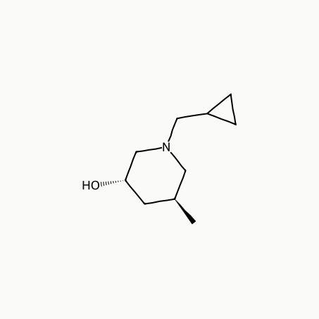 C[C@H]1C[C@H](O)CN(CC2CC2)C1